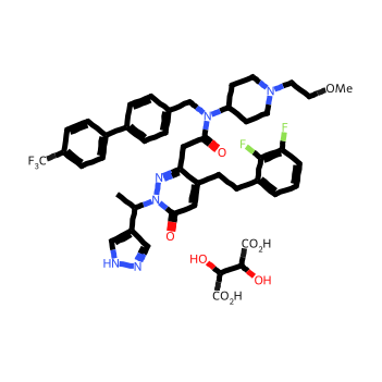 COCCN1CCC(N(Cc2ccc(-c3ccc(C(F)(F)F)cc3)cc2)C(=O)Cc2nn(C(C)c3cn[nH]c3)c(=O)cc2CCc2cccc(F)c2F)CC1.O=C(O)C(O)C(O)C(=O)O